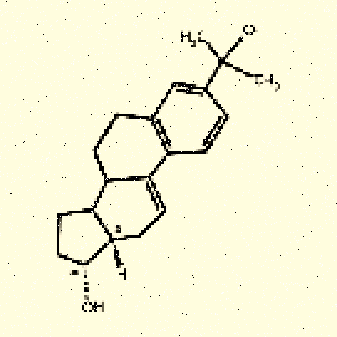 CC(C)([O])c1ccc2c(c1)CCC1C2=CC[C@H]2C1CC[C@H]2O